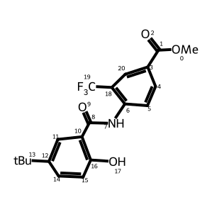 COC(=O)c1ccc(NC(=O)c2cc(C(C)(C)C)ccc2O)c(C(F)(F)F)c1